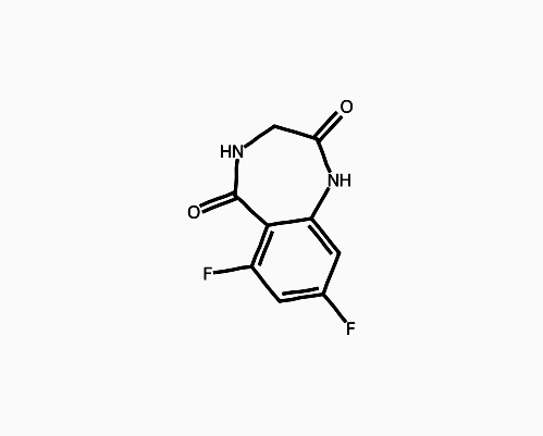 O=C1CNC(=O)c2c(F)cc(F)cc2N1